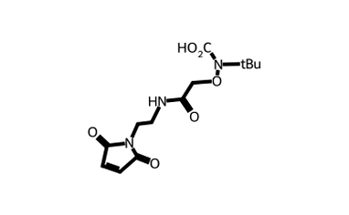 CC(C)(C)N(OCC(=O)NCCN1C(=O)C=CC1=O)C(=O)O